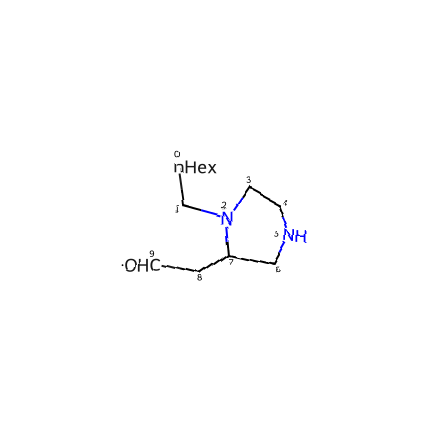 CCCCCCCN1CCNCC1C[C]=O